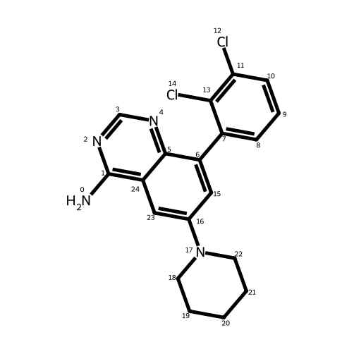 Nc1ncnc2c(-c3cccc(Cl)c3Cl)cc(N3CCCCC3)cc12